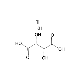 O=C(O)C(O)C(O)C(=O)O.[KH].[Ti]